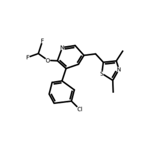 Cc1nc(C)c(Cc2cnc(OC(F)F)c(-c3cccc(Cl)c3)c2)s1